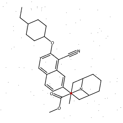 CCC1CCC(Oc2ccc3ccc(C(C)N4C5CCCC4CC(C(=O)OC)C5)cc3c2C#N)CC1